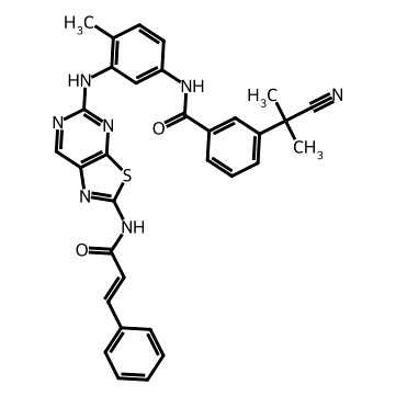 Cc1ccc(NC(=O)c2cccc(C(C)(C)C#N)c2)cc1Nc1ncc2nc(NC(=O)C=Cc3ccccc3)sc2n1